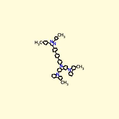 Cc1ccc(-c2cc(-c3ccc(-c4ccc(-c5ccc(-n6c7ccc(-n8c9ccccc9c9cc(C)ccc98)cc7c7cc(-n8c9ccccc9c9cc(C)ccc98)ccc76)cc5)cc4)cc3)nc(-c3ccc(C)cc3)n2)cc1